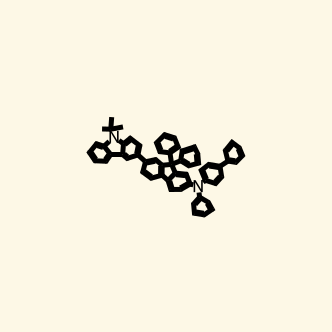 CC(C)(C)n1c2ccccc2c2cc(-c3ccc4c(c3)C(c3ccccc3)(c3ccccc3)c3cc(N(c5ccccc5)c5ccc(-c6ccccc6)cc5)ccc3-4)ccc21